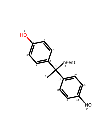 CCCCCC(C)(c1ccc(O)cc1)c1ccc(N=O)cc1